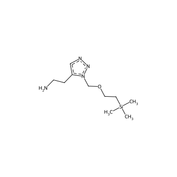 C[Si](C)(C)CCOCn1nncc1CCN